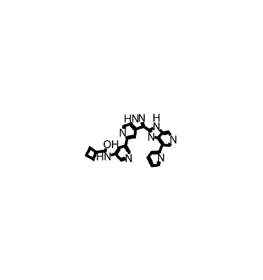 OC(Nc1cncc(-c2cc3c(-c4nc5c(-c6ccccn6)cncc5[nH]4)n[nH]c3cn2)c1)C1CCC1